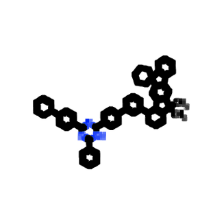 CC1(C)C2=C(c3cc4c(cc31)-c1ccccc1C41CCCCC1)C(c1cccc(-c3ccc(C4N=C(c5ccc(C6C=CC=CC6)cc5)N=C(c5ccccc5)N4)cc3)c1)CC=C2